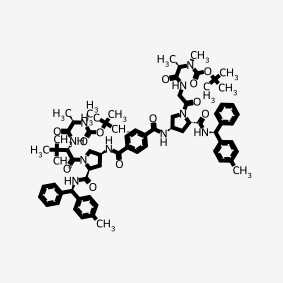 Cc1ccc([C@H](NC(=O)[C@@H]2C[C@H](NC(=O)c3ccc(C(=O)N[C@H]4C[C@@H](C(=O)N[C@H](c5ccccc5)c5ccc(C)cc5)N(C(=O)[C@@H](NC(=O)[C@H](C)N(C)C(=O)OC(C)(C)C)C(C)(C)C)C4)cc3)CN2C(=O)CNC(=O)[C@H](C)N(C)C(=O)OC(C)(C)C)c2ccccc2)cc1